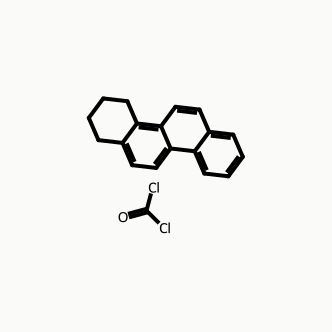 O=C(Cl)Cl.c1ccc2c(c1)ccc1c3c(ccc12)CCCC3